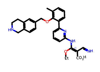 CCO/C(Nc1cccc(-c2cccc(C)c2OCc2ccc3c(c2)CCNC3)n1)=C(/C=N)C(=O)O